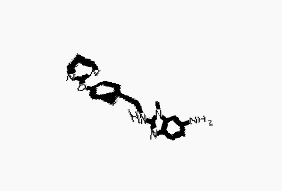 Cn1c(NCc2ccc(Oc3ncccn3)cc2)nc2ccc(N)cc21